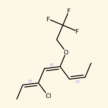 C\C=C/C(=C\C(Cl)=C\C)OCC(F)(F)F